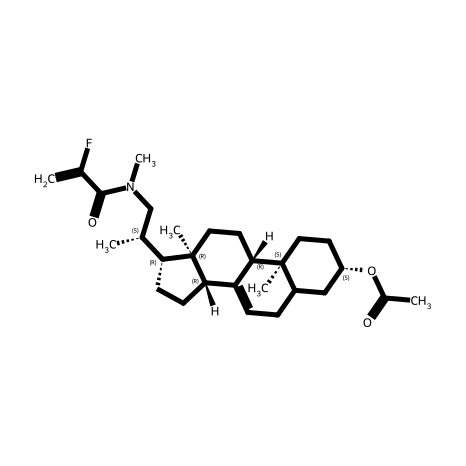 C=C(F)C(=O)N(C)C[C@@H](C)[C@H]1CC[C@H]2C3=CCC4C[C@@H](OC(C)=O)CC[C@]4(C)[C@H]3CC[C@]12C